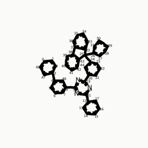 c1ccc(-c2cccc(-c3nc(-c4ccccc4)nc(-c4cccc(C5(c6ccccc6)c6ccccc6-c6ccccc65)c4)n3)c2)cc1